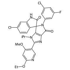 CCOc1cc(OC)c(-c2nc3c(n2C(C)C)C2(C(=O)Nc4cc(Cl)ccc42)N(c2cc(F)cc(Cl)c2)C3=O)cn1